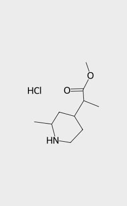 COC(=O)C(C)C1CCNC(C)C1.Cl